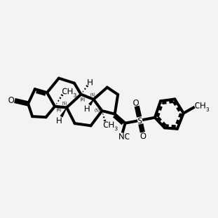 [C-]#[N+]C(=C1CC[C@H]2[C@@H]3CCC4=CC(=O)CC[C@]4(C)[C@H]3CC[C@]12C)S(=O)(=O)c1ccc(C)cc1